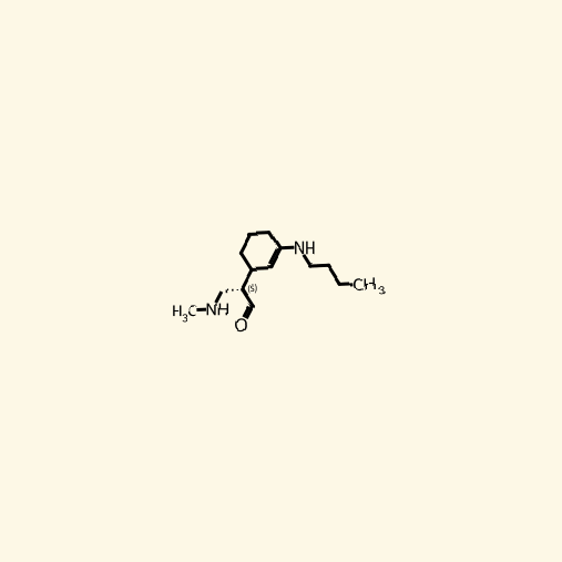 CCCCNC1=CC([C@H](C=O)CNC)CCC1